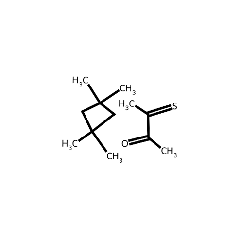 CC(=O)C(C)=S.CC1(C)CC(C)(C)C1